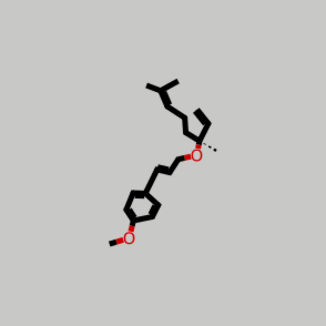 C=C[C@](C)(CCC=C(C)C)OCC=Cc1ccc(OC)cc1